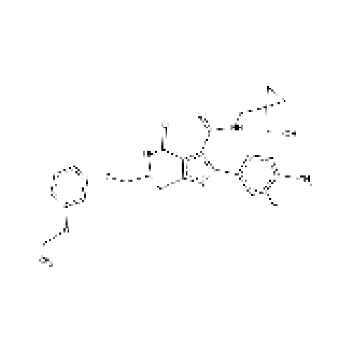 Cc1ccc(-n2nc3c(c2C(=O)NCC2(CO)CC2)C(=O)NC(CCc2cccc(OCC(F)(F)F)c2)C3)cc1F